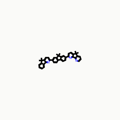 CC1(C)c2cc(-c3ccc4c(n3)-c3ccccc3C4(C)C)ccc2-c2ccc(-c3ccc4c(n3)-c3ncccc3C4(C)C)cc21